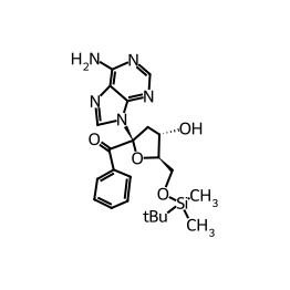 CC(C)(C)[Si](C)(C)OC[C@H]1O[C@@](C(=O)c2ccccc2)(n2cnc3c(N)ncnc32)C[C@@H]1O